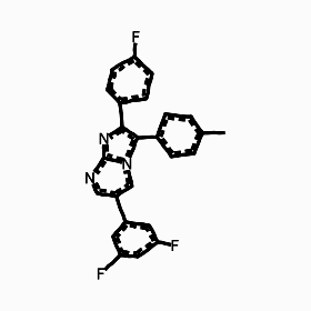 Cc1ccc(-c2c(-c3ccc(F)cc3)nc3ncc(-c4cc(F)cc(F)c4)cn23)cc1